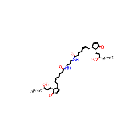 CCCCC[C@H](O)/C=C/[C@H]1C(=O)C=C[C@@H]1C/C=C\CCCC(=O)NCCCNC(=O)CCC/C=C\C[C@H]1C=CC(=O)[C@@H]1/C=C/[C@@H](O)CCCCC